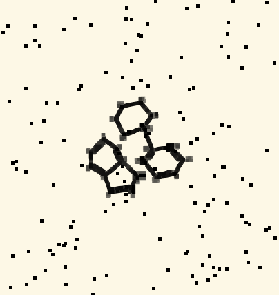 c1ccc2[nH]ncc2c1.c1cnc(N2CCCCC2)nc1